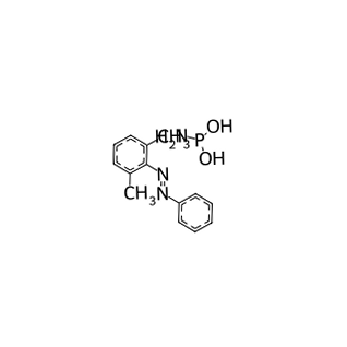 Cc1cccc(C)c1N=Nc1ccccc1.NP(O)O